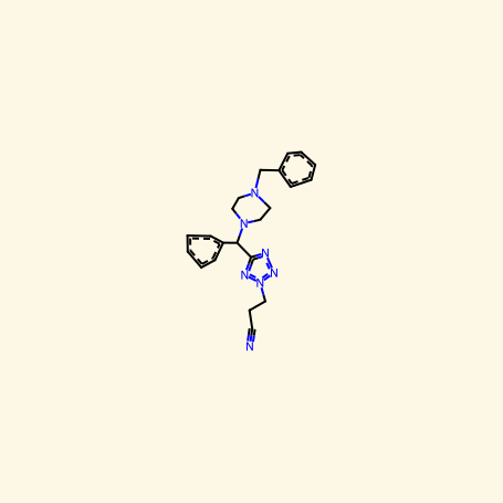 N#CCCn1nnc(C(c2ccccc2)N2CCN(Cc3ccccc3)CC2)n1